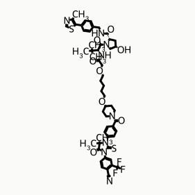 Cc1ncsc1-c1ccc(CNC(=O)[C@@H]2C[C@@H](O)CN2C(=O)[C@@H](NC(=O)COCCCCCOC2CCN(C(=O)c3ccc(N4C(=S)N(c5ccc(C#N)c(C(F)(F)F)c5)C(=O)C4(C)C)cc3)CC2)C(C)(C)C)cc1